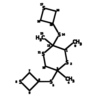 CC1SC(C)(SC2CSC2)CSC1(C)SC1CSC1